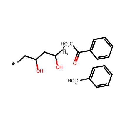 CC(C)CC(O)CC(C)O.O=C(O)C(=O)c1ccccc1.O=C(O)c1ccccc1